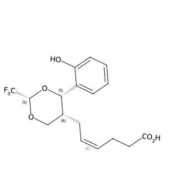 O=C(O)CC/C=C\C[C@@H]1CO[C@H](C(F)(F)F)O[C@@H]1c1ccccc1O